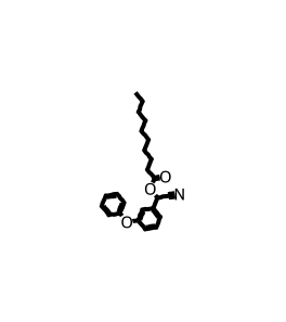 CCCCCCCCCC(=O)OC(C#N)c1cccc(Oc2ccccc2)c1